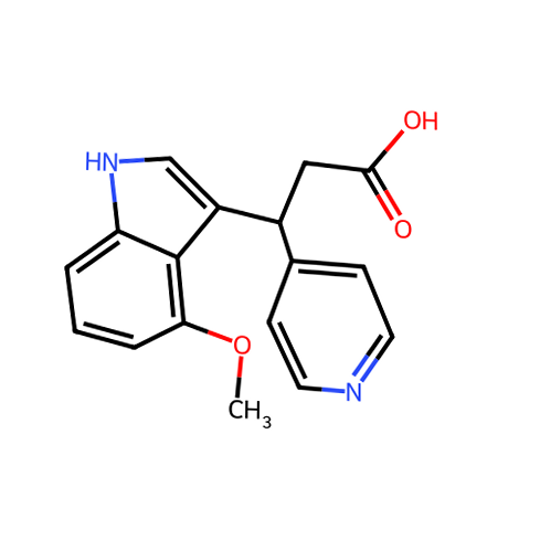 COc1cccc2[nH]cc(C(CC(=O)O)c3ccncc3)c12